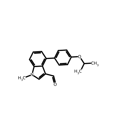 CC(C)Oc1ccc(-c2cccc3c2c(C=O)cn3C)cc1